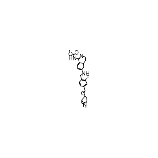 COC(=O)Nc1nccc2cc(NCc3ccc(COC4CC5CC4CN5C)cc3F)ccc12